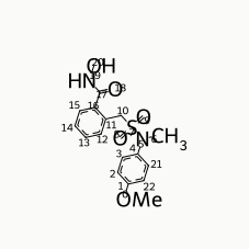 COc1ccc(N(C)S(=O)(=O)Cc2ccccc2C(=O)NO)cc1